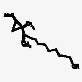 CSC1CC1(C)C(C)CCCCCCCO